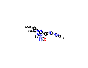 CCc1nc2c(NCc3ccc(OC)cc3OC)ncc(-c3cccc(CN4CCC(N5CCN(C)CC5)CC4)c3)c2nc1NC1CCOCC1